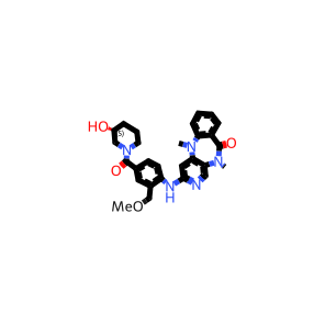 COCc1cc(C(=O)N2CCC[C@H](O)C2)ccc1Nc1cc2c(cn1)N(C)C(=O)c1ccccc1N2C